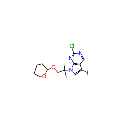 CC(C)(COC1CCCCO1)n1cc(I)c2cnc(Cl)nc21